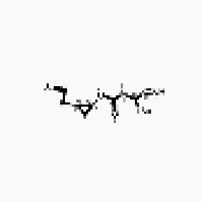 C=CC[C@@H]1C[C@H]1OC(=O)NC(C(=O)O)C(C)(C)C